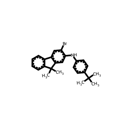 CC(C)(C)c1ccc(Nc2cc3c(cc2Br)-c2ccccc2C3(C)C)cc1